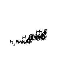 NCCCNCc1ccc(-c2c[nH]c(NC(=O)Nc3ccccc3OCF)nc2=O)cn1